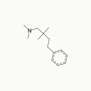 CN(C)CC(C)(C)CCc1ccccc1